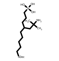 CCCCCCCCCCCCCCCC(CCC[Si](O)(O)O)CC(C)(C)N